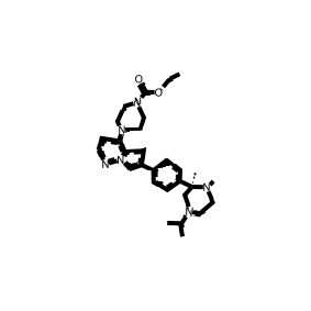 CCOC(=O)N1CCN(c2ccnn3cc(-c4ccc([C@]5(C)CN(C(C)C)CCN5C)cc4)cc23)CC1